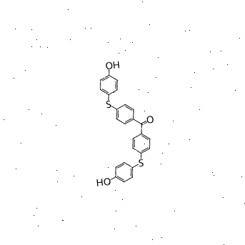 O=C(c1ccc(Sc2ccc(O)cc2)cc1)c1ccc(Sc2ccc(O)cc2)cc1